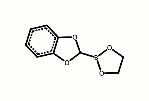 c1ccc2c(c1)OC(B1OCCO1)O2